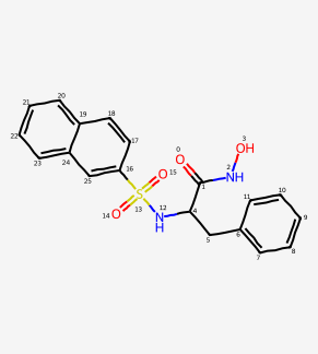 O=C(NO)C(Cc1ccccc1)NS(=O)(=O)c1ccc2ccccc2c1